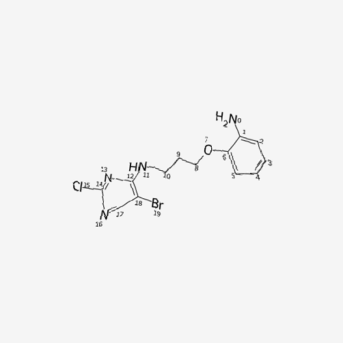 Nc1ccccc1OCCCNc1nc(Cl)ncc1Br